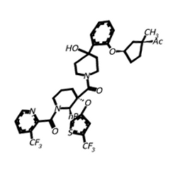 CCC[C@H]1N(C(=O)c2ncccc2C(F)(F)F)CCC[C@@]1(Oc1csc(C(F)(F)F)c1)C(=O)N1CCC(O)(c2ccccc2O[C@@H]2CC[C@](C)(C(C)=O)C2)CC1